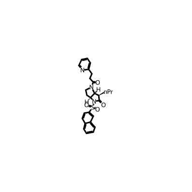 CCC[C@H]1C(=O)N(S(=O)(=O)c2ccc3ccccc3c2)[C@H]2CCN(C(=O)CCc3ccccn3)[C@H]12